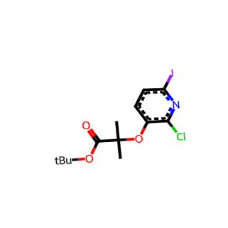 CC(C)(C)OC(=O)C(C)(C)Oc1ccc(I)nc1Cl